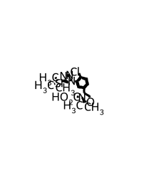 CC1(C)OCC(c2ccc(Cl)c(-n3cc([Si](C)(C)C)nn3)c2)N1C(=O)O